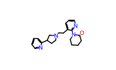 O=C1CCCCN1c1ncccc1CCN1CCC(c2ccccn2)C1